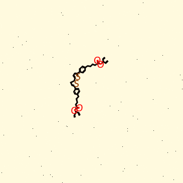 C=CC(C=C)OC(=O)CCCCc1ccc(C2=CCC(c3ccc(-c4ccc(CCCCC(=O)OC(C=C)C=C)cc4)s3)S2)cc1